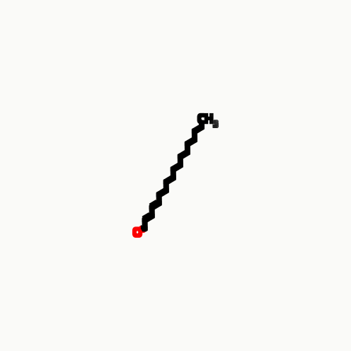 CCCCCCCCCCCCCC=CC=CC=O